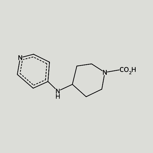 O=C(O)N1CCC(Nc2ccncc2)CC1